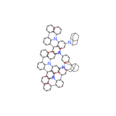 c1ccc(-c2cccc(-c3ccccc3)c2N(c2ccccc2)c2cc(N(c3ccccc3)c3cccc(N(c4cc(N(c5ccccc5)c5c(-c6ccccc6)cccc5-c5ccccc5)cc(N5C6CC7CC5C5CCCC7C5C6)c4)c4c(-c5ccccc5)cccc4-c4ccccc4)c3)cc(N3C4CC5CC(C4)CC3C5)c2)cc1